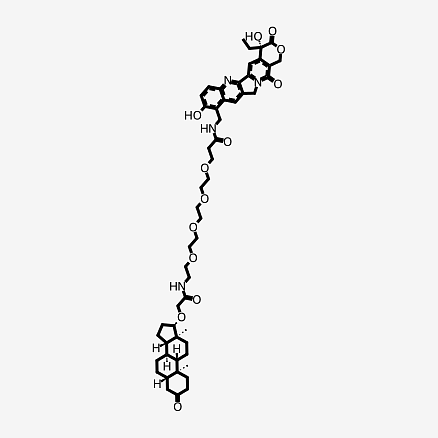 CC[C@@]1(O)C(=O)OCc2c1cc1n(c2=O)Cc2cc3c(CNC(=O)CCOCCOCCOCCOCCNC(=O)CO[C@H]4CC[C@H]5[C@@H]6CC[C@H]7CC(=O)CC[C@]7(C)[C@H]6CC[C@]45C)c(O)ccc3nc2-1